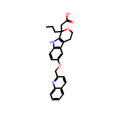 CCCC1(CC(=O)O)OCCc2c1[nH]c1ccc(OCc3ccc4ccccc4n3)cc21